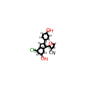 N#Cc1ccoc1C1=C(c2ccc(O)cc2)Cc2c(Cl)cc(O)cc21